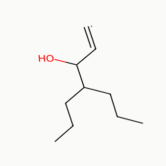 [CH]=CC(O)C(CCC)CCC